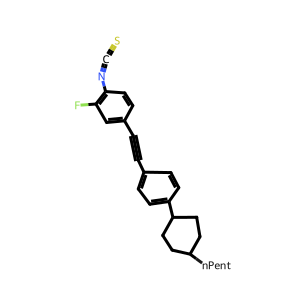 CCCCCC1CCC(c2ccc(C#Cc3ccc(N=C=S)c(F)c3)cc2)CC1